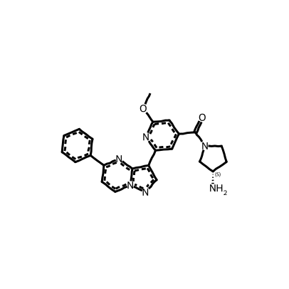 COc1cc(C(=O)N2CC[C@H](N)C2)cc(-c2cnn3ccc(-c4ccccc4)nc23)n1